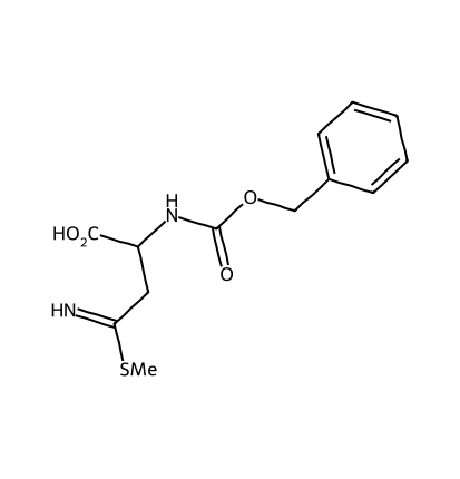 CSC(=N)CC(NC(=O)OCc1ccccc1)C(=O)O